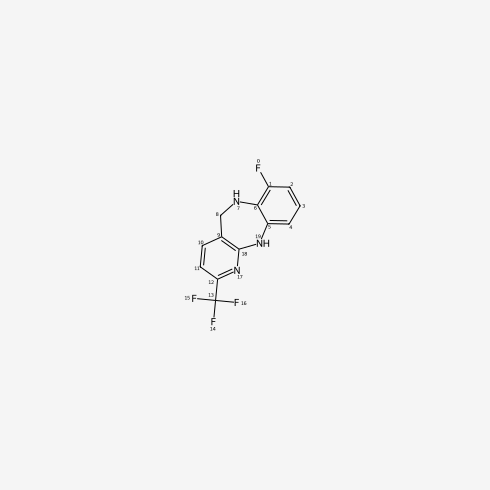 Fc1cccc2c1NCc1ccc(C(F)(F)F)nc1N2